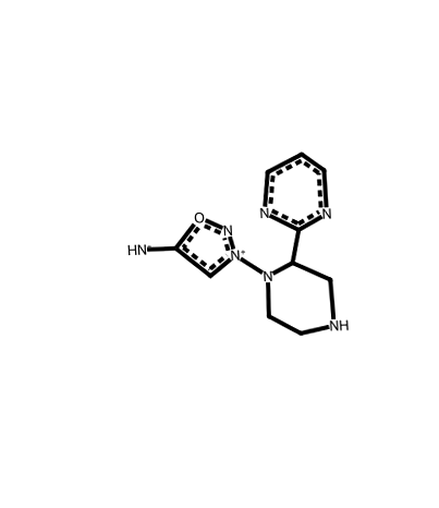 [NH-]c1c[n+](N2CCNCC2c2ncccn2)no1